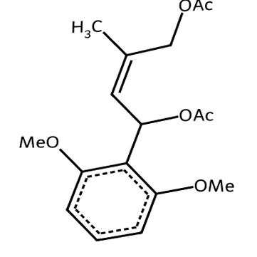 COc1cccc(OC)c1C(C=C(C)COC(C)=O)OC(C)=O